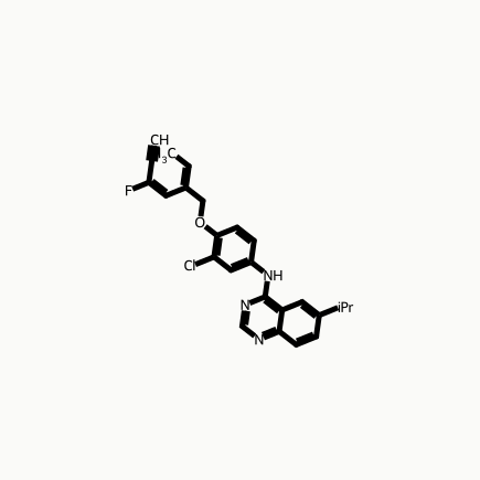 C#C/C(F)=C\C(=C/C)COc1ccc(Nc2ncnc3ccc(C(C)C)cc23)cc1Cl